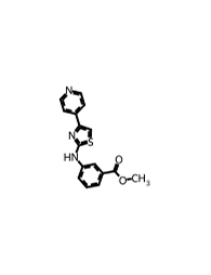 COC(=O)c1cccc(Nc2nc(-c3ccncc3)cs2)c1